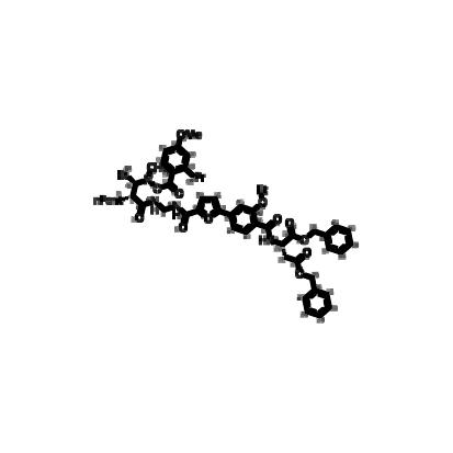 CCCCC[C@@H](C(=O)NCNC(=O)c1ccc(-c2ccc(C(=O)N[C@@H](CC(=O)OCc3ccccc3)C(=O)OCc3ccccc3)c(OCC)c2)o1)[C@@H](CC)N(C=O)OC(=O)c1ccc(OC)cc1C(C)C